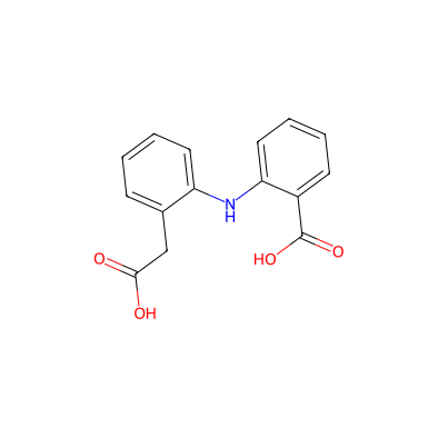 O=C(O)Cc1ccccc1Nc1ccccc1C(=O)O